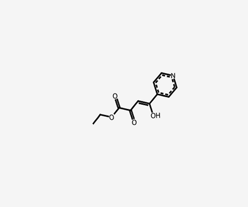 CCOC(=O)C(=O)C=C(O)c1ccncc1